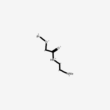 CNCCNC(=O)COC(C)C